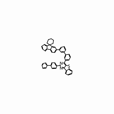 c1ccc(-c2ccc(-c3nc(-c4cccc(-c5cccc(-c6ccc7c(c6)C6(CCCCC6)c6ccccc6-7)c5)c4)c4sc5ccccc5c4n3)cc2)cc1